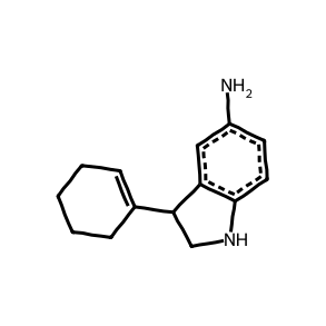 Nc1ccc2c(c1)C(C1=CCCCC1)CN2